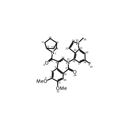 COc1cc2c(C(=O)N3CC4CCC3C4)cn(-c3cc(F)cc4c3ccn4C)c(=O)c2cc1OC